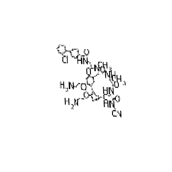 C[C@@H]1NC(=O)[C@@H](N(C)C(=O)CNC(=O)c2ccc(-c3ccccc3Cl)cc2)c2ccc(OCCN)c(c2)-c2cc(ccc2OCCN)C[C@@H](C(=O)NCC#N)NC1=O